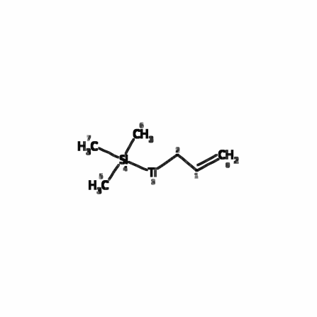 C=C[CH2][Ti][Si](C)(C)C